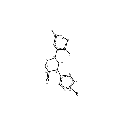 Cc1ccc(C)c(C2CNC(=O)C(c3ccc(F)cc3)C2)c1